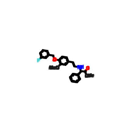 COC(=O)C(NCCc1ccc(OCc2cccc(F)c2)c(OC)c1)c1ccccc1